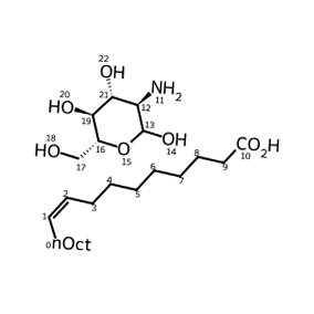 CCCCCCCC/C=C\CCCCCCCC(=O)O.N[C@H]1C(O)O[C@H](CO)[C@@H](O)[C@@H]1O